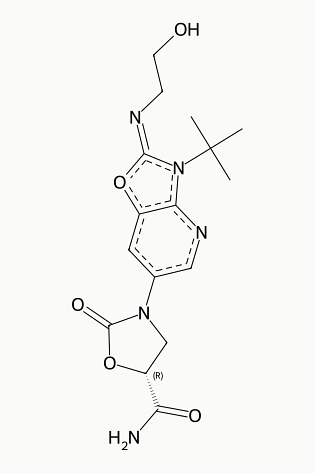 CC(C)(C)n1c(=NCCO)oc2cc(N3C[C@H](C(N)=O)OC3=O)cnc21